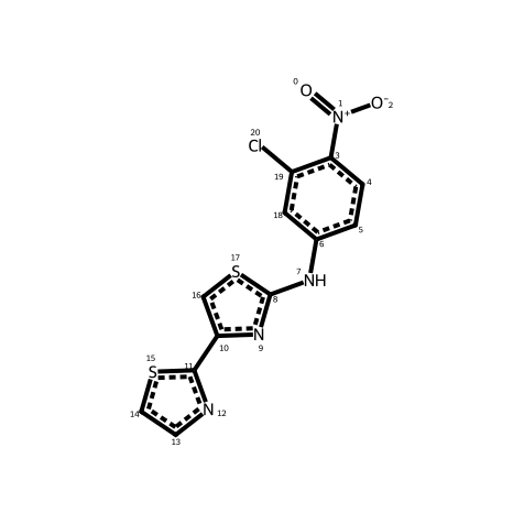 O=[N+]([O-])c1ccc(Nc2nc(-c3nccs3)cs2)cc1Cl